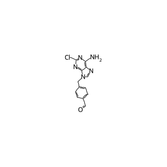 Nc1nc(Cl)nc2c1ncn2Cc1ccc(C=O)cc1